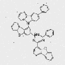 c1ccc(-c2ccc3c(c2)c2ccccc2n3-c2cc(C3=NC(c4cccc5c4oc4ccccc45)=NC(c4ccccc4)N3)cc3sc4ccccc4c23)cc1